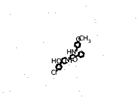 COc1ccc(CNC(CC(F)N2CCC(O)(c3ccc(Cl)cc3)CC2)C(=O)c2ccccc2)cc1